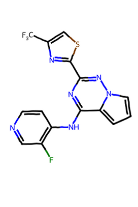 Fc1cnccc1Nc1nc(-c2nc(C(F)(F)F)cs2)nn2cccc12